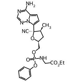 CCOC(=O)CNP(=O)(OC[C@@H]1C[C@H](C)[C@](C#N)(c2ccc3c(N)ncnn23)O1)Oc1ccccc1